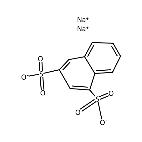 O=S(=O)([O-])c1cc(S(=O)(=O)[O-])c2ccccc2c1.[Na+].[Na+]